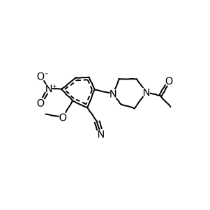 COc1c([N+](=O)[O-])ccc(N2CCN(C(C)=O)CC2)c1C#N